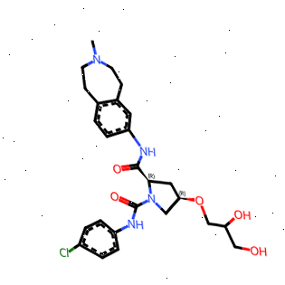 CN1CCc2ccc(NC(=O)[C@H]3C[C@@H](OCC(O)CO)CN3C(=O)Nc3ccc(Cl)cc3)cc2CC1